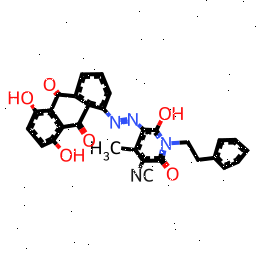 Cc1c(/N=N/c2cccc3c2C(=O)c2c(O)ccc(O)c2C3=O)c(O)n(CCc2ccccc2)c(=O)c1C#N